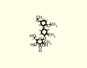 COc1ccc(OC)c(-c2ccc(O[C@H]3O[C@H](CO)[C@@H](O)[C@H](O)[C@]3(C)O)c(C)c2)c1